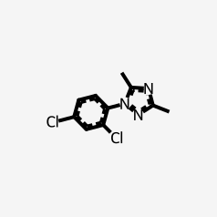 Cc1nc(C)n(-c2ccc(Cl)cc2Cl)n1